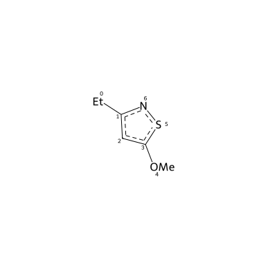 CCc1cc(OC)sn1